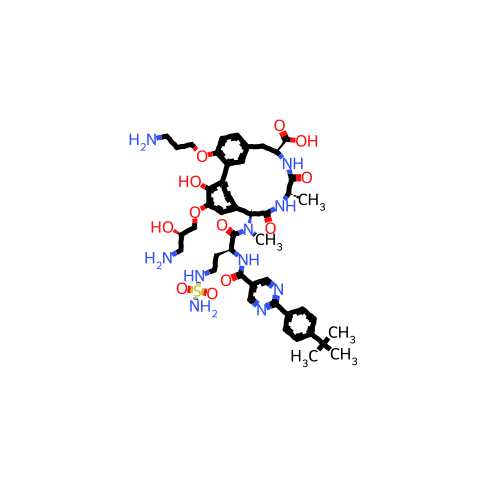 C[C@@H]1NC(=O)[C@@H](N(C)C(=O)[C@H](CCNS(N)(=O)=O)NC(=O)c2cnc(-c3ccc(C(C)(C)C)cc3)nc2)c2cc(OC[C@H](O)CN)c(O)c(c2)-c2cc(ccc2OCCCN)C[C@@H](C(=O)O)NC1=O